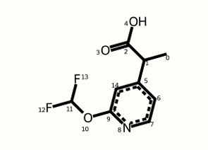 CC(C(=O)O)c1ccnc(OC(F)F)c1